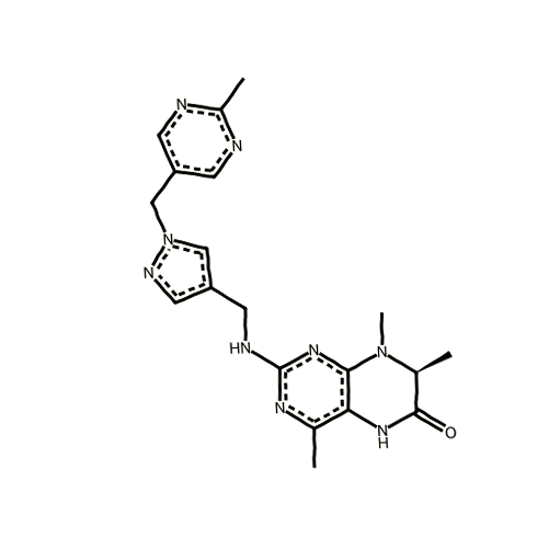 Cc1ncc(Cn2cc(CNc3nc(C)c4c(n3)N(C)[C@@H](C)C(=O)N4)cn2)cn1